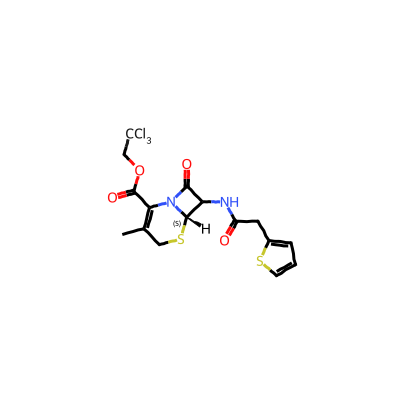 CC1=C(C(=O)OCC(Cl)(Cl)Cl)N2C(=O)C(NC(=O)Cc3cccs3)[C@@H]2SC1